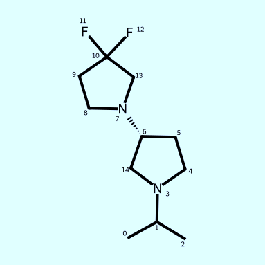 CC(C)N1CC[C@@H](N2CCC(F)(F)C2)C1